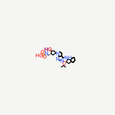 CC(C)O[C@H]1Cc2ccccc2[C@H]1Nc1ncnc2c1ccn2[C@@H]1C[C@@H](CNS(=O)(=O)O)[C@@H](O)C1